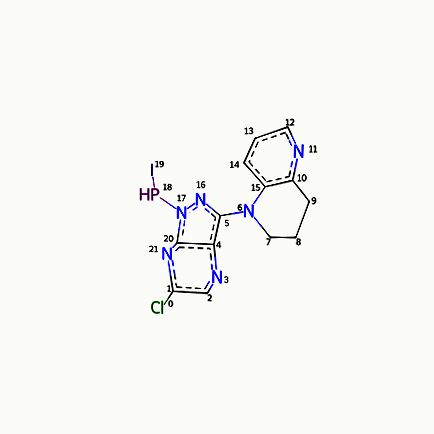 Clc1cnc2c(N3CCCc4ncccc43)nn(PI)c2n1